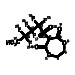 O=C1OCCOC(=O)C1S(=O)(=O)C(F)(F)C(F)(F)C(F)(F)C(=O)O